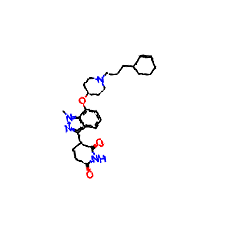 Cn1nc(C2CCC(=O)NC2=O)c2cccc(OC3CCN(CCCC4CCCCC4)CC3)c21